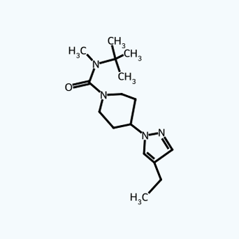 CCc1cnn(C2CCN(C(=O)N(C)C(C)(C)C)CC2)c1